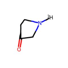 [2H]N1CCC(=O)C1